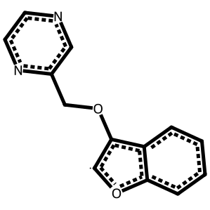 [c]1oc2ccccc2c1OCc1cnccn1